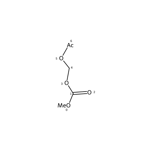 COC(=O)OCOC(C)=O